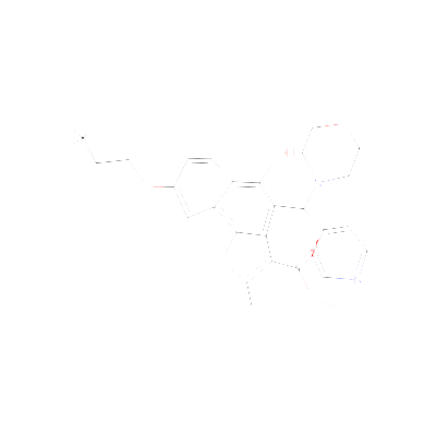 COC(=O)c1c(C)oc2c1c(C(c1ccncc1)N1CCOCC1)c(O)c1ccc(OCCC(F)(F)F)cc12